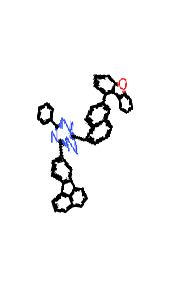 c1ccc(-c2nc(-c3ccc4c(c3)-c3cccc5cccc-4c35)nc(-c3cccc4cc(-c5cccc6oc7ccccc7c56)ccc34)n2)cc1